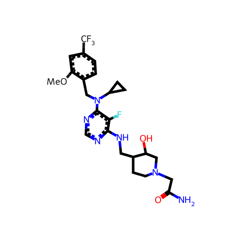 COc1cc(C(F)(F)F)ccc1CN(c1ncnc(NCC2CCN(CC(N)=O)CC2O)c1F)C1CC1